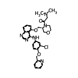 CN(C)CC(=O)N1CCOC[C@H]1COc1cccc2ncnc(Nc3ccc(OCc4ccccn4)c(Cl)c3)c12